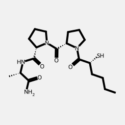 CCCC[C@@H](S)C(=O)N1CCC[C@H]1C(=O)N1CCC[C@H]1C(=O)N[C@@H](C)C(N)=O